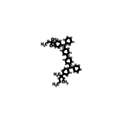 CCCC(C)(CC)c1ccc(N(c2ccccc2)c2ccc(-c3ccc(N(c4ccccc4)c4ccc(C(C)(C)CC)cc4)cc3)cc2)cc1